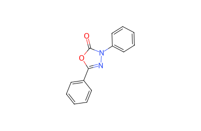 O=c1oc(-c2ccccc2)nn1-c1ccccc1